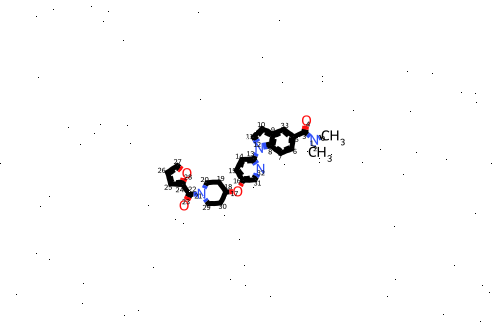 CN(C)C(=O)c1ccc2c(ccn2-c2ccc(OC3CCN(C(=O)c4ccco4)CC3)cn2)c1